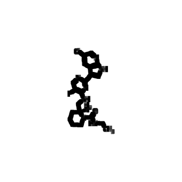 CCNC(=O)N1CCCC[C@]1(N)CNc1nc(-c2c[nH]c3ncc(Cl)cc23)ncc1F